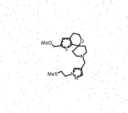 COCc1cc2c(s1)C1(CCN(Cc3cnn(CCSC)c3)CC1)OCC2